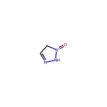 O=[N+]1[C]C=NN1